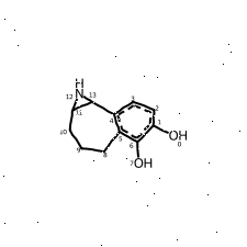 Oc1ccc2c(c1O)CCCC1NC21